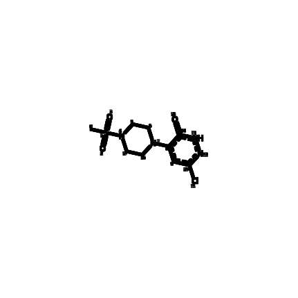 CS(=O)(=O)N1CCN(c2cc(Cl)n[nH]c2=O)CC1